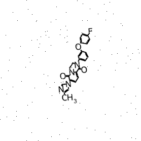 Cc1cn(-c2ccc3n(c2=O)CCN(c2cccc(Oc4ccc(F)cc4)c2)C3=O)cn1